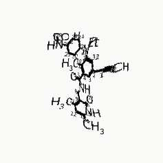 C#Cc1cc(C(=O)NCc2c(C)cc(C)[nH]c2=O)c(C)c(N(CC)[C@H]2CC[C@H](NC(=O)O)CC2)c1